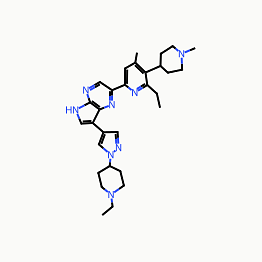 CCc1nc(-c2cnc3[nH]cc(-c4cnn(C5CCN(CC)CC5)c4)c3n2)cc(C)c1C1CCN(C)CC1